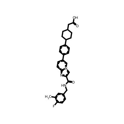 Cc1cc(CNC(=O)c2cn3cc(-c4ccc(C5CCC(CC(=O)O)CC5)cc4)ccc3n2)ccc1F